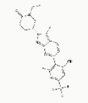 CCN1C[C@H](n2nc3nc(-c4c(C)cc(C(F)(F)F)cc4O)ccc3c2C)CCC1=O